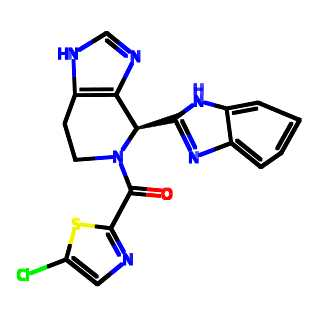 O=C(c1ncc(Cl)s1)N1CCc2[nH]cnc2[C@H]1c1nc2ccccc2[nH]1